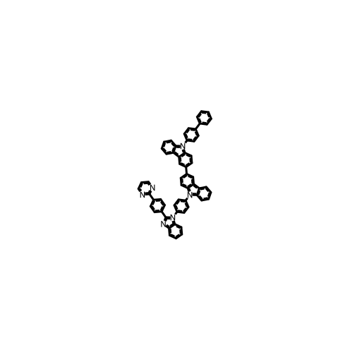 c1ccc(-c2ccc(-n3c4ccccc4c4cc(-c5ccc6c(c5)c5ccccc5n6-c5ccc(-n6c(-c7ccc(-c8ncccn8)cc7)nc7ccccc76)cc5)ccc43)cc2)cc1